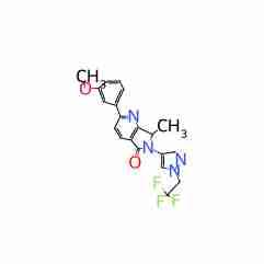 COc1cccc(-c2ccc3c(n2)C(C)N(c2cnn(CC(F)(F)F)c2)C3=O)c1